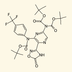 CC(C)(C)OC(=O)N(C(=O)OC(C)(C)C)c1cnc(-c2noc(=O)[nH]2)c(N(C(=O)OC(C)(C)C)c2ccc(C(F)(F)F)cc2)n1